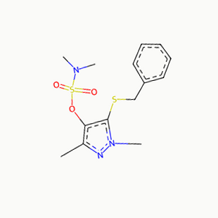 Cc1nn(C)c(SCc2ccccc2)c1OS(=O)(=O)N(C)C